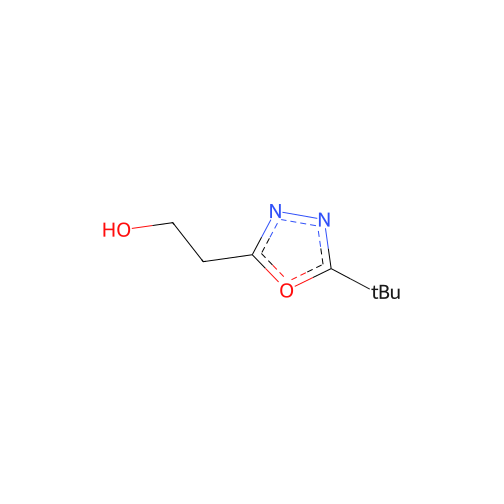 CC(C)(C)c1nnc(CCO)o1